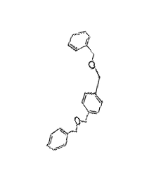 c1ccc(COCc2ccc(COCc3ccccc3)cc2)cc1